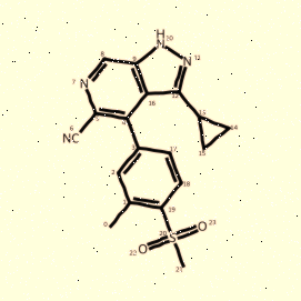 Cc1cc(-c2c(C#N)ncc3[nH]nc(C4CC4)c23)ccc1S(C)(=O)=O